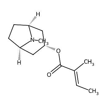 C/C=C(\C)C(=O)O[C@@H]1C[C@H]2CC[C@@H](C1)N2C